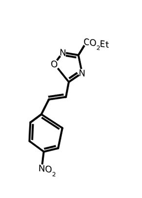 CCOC(=O)c1noc(C=Cc2ccc([N+](=O)[O-])cc2)n1